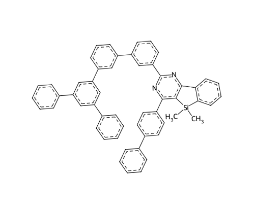 C[Si]1(C)c2ccccc2-c2nc(-c3cccc(-c4cccc(-c5cc(-c6ccccc6)cc(-c6ccccc6)c5)c4)c3)nc(-c3ccc(-c4ccccc4)cc3)c21